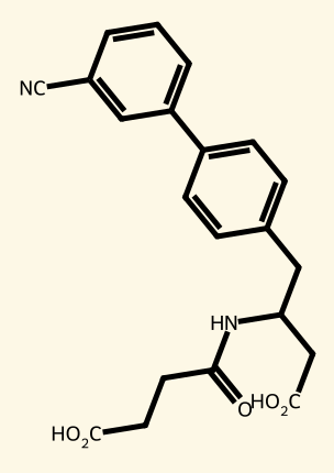 N#Cc1cccc(-c2ccc(CC(CC(=O)O)NC(=O)CCC(=O)O)cc2)c1